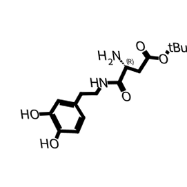 CC(C)(C)OC(=O)C[C@@H](N)C(=O)NCCc1ccc(O)c(O)c1